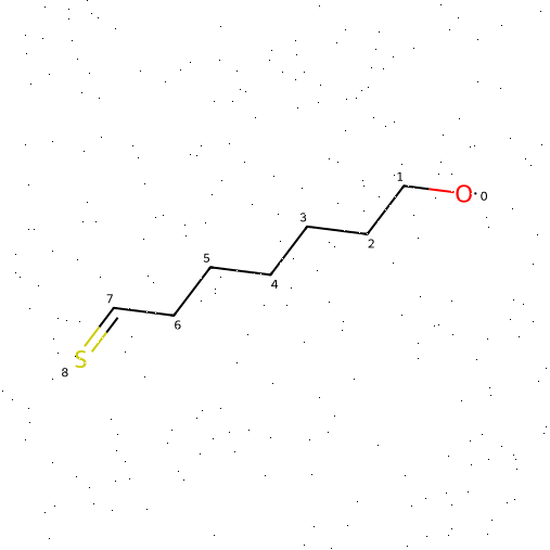 [O]CCCCCCC=S